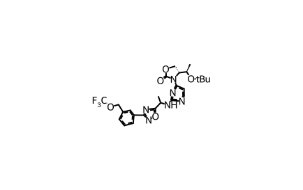 CC(Nc1nccc(N2C(=O)OC[C@@H]2[C@@H](C)OC(C)(C)C)n1)c1nc(-c2cccc(COC(F)(F)F)c2)no1